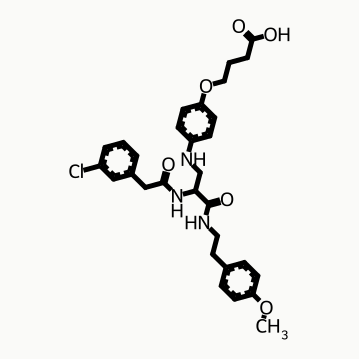 COc1ccc(CCNC(=O)C(CNc2ccc(OCCCC(=O)O)cc2)NC(=O)Cc2cccc(Cl)c2)cc1